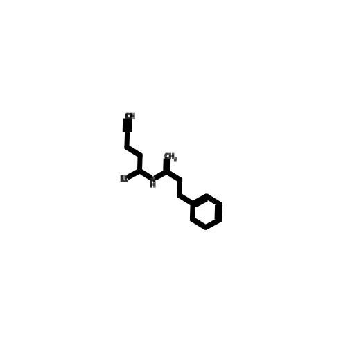 C#CCCC(CC)NC(=C)CCC1=CC=CCC1